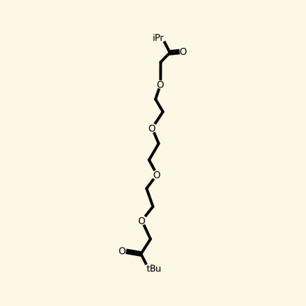 CC(C)C(=O)COCCOCCOCCOCC(=O)C(C)(C)C